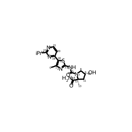 Cc1nc(NC(=O)N2C[C@H](O)C[C@@]2(C)C(N)=O)sc1-c1ccnc(C(C)C)n1